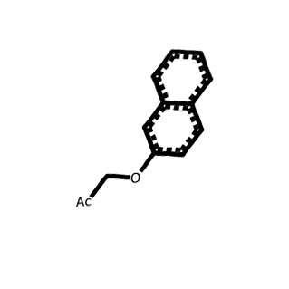 CC(=O)COc1ccc2ccccc2c1